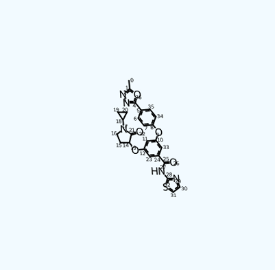 Cc1nnc(-c2ccc(Oc3cc(OC4CCN(C5CC5)C4=O)cc(C(=O)Nc4nccs4)c3)cc2)o1